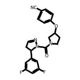 N#Cc1ccc(OC2CCN(C(=O)N3N=CCC3c3cc(F)cc(F)c3)C2)cc1